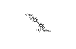 CCCCCCC(C)Oc1ccc(C#Cc2ccc(C3CCC(CCC)CC3)cc2)cc1